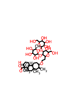 C=C1C[C@@]2(C)CC[C@H]3[C@@](C)(CCC[C@@]3(C)C(=O)O)[C@@H]2CC[C@@H]1OCCC1OC(CO)C(O)C(OC2OC(CO)C(O)C(O)C2O)C1OC1OC(C)C(O)C(O)C1O